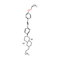 C=CCOc1ccc(C#Cc2ccc([C@@H]3CC[C@@H]4CC(CCC)CC[C@@H]4C3)cc2)cc1